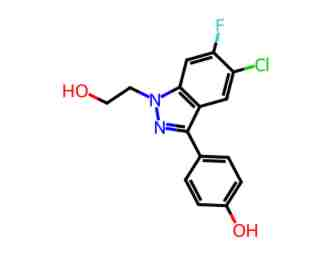 OCCn1nc(-c2ccc(O)cc2)c2cc(Cl)c(F)cc21